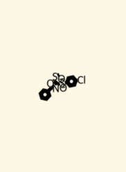 CSc1oc(-c2ccccc2)nc1S(=O)(=O)c1ccc(Cl)cc1